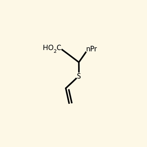 C=CSC(CCC)C(=O)O